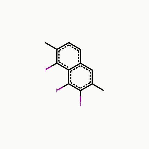 Cc1cc2ccc(C)c(I)c2c(I)c1I